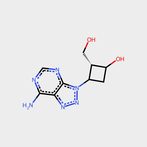 Nc1ncnc2c1nnn2C1CC(O)[C@H]1CO